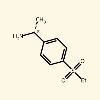 CCS(=O)(=O)c1ccc([C@@H](C)N)cc1